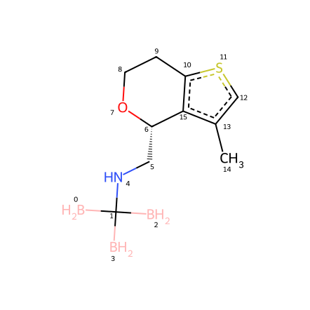 BC(B)(B)NC[C@@H]1OCCc2scc(C)c21